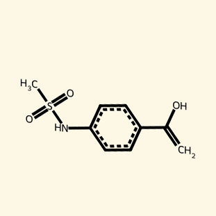 C=C(O)c1ccc(NS(C)(=O)=O)cc1